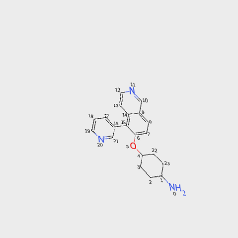 NC1CCC(Oc2ccc3cnccc3c2-c2cccnc2)CC1